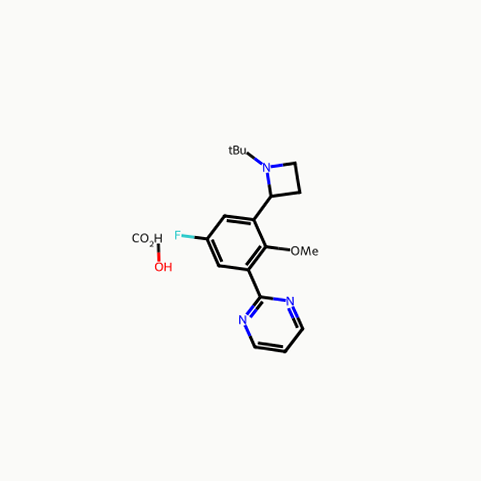 COc1c(-c2ncccn2)cc(F)cc1C1CCN1C(C)(C)C.O=C(O)O